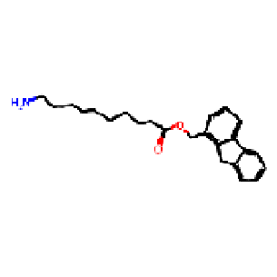 NCCCCCCCCCC(=O)OCc1cccc2c1Cc1ccccc1-2